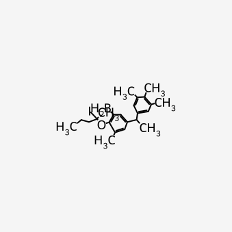 Bc1cc(C(C)c2cc(C)c(C)c(C)c2)cc(C)c1OC(C)(I)CCC